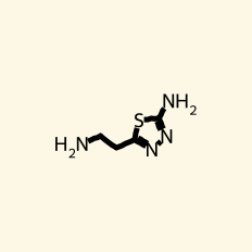 NCCc1nnc(N)s1